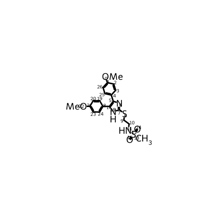 COc1ccc(-c2nc(SCCNS(C)(=O)=O)[nH]c2-c2ccc(OC)cc2)cc1